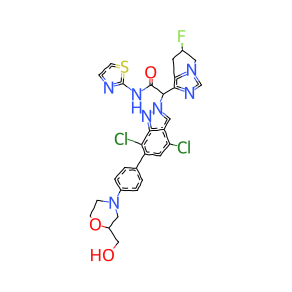 O=C(Nc1nccs1)C(c1ncn2c1C[C@@H](F)C2)n1cc2c(Cl)cc(-c3ccc(N4CCOC(CO)C4)cc3)c(Cl)c2n1